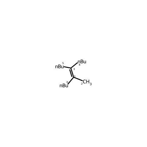 CCCCC(C)=C(CCCC)CCCC